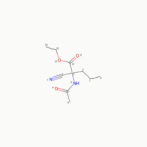 CCCC(C#N)(NC(C)=O)C(=O)OCC